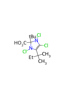 CCC(C)(C)C1=C(Cl)N(Cl)C(C(=O)O)(C(C)(C)C)N1Cl